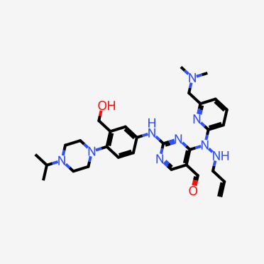 C=CCNN(c1cccc(CN(C)C)n1)c1nc(Nc2ccc(N3CCN(C(C)C)CC3)c(CO)c2)ncc1C=O